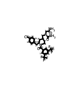 NC(=O)CN(CC1CCN(C(=O)c2cc(C(F)(F)F)cc(C(F)(F)F)c2)C(Cc2ccc(Cl)cc2)C1)C(N)=O